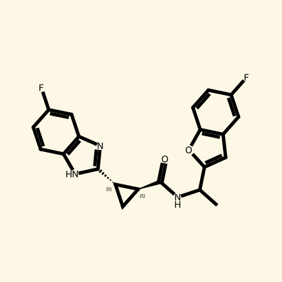 CC(NC(=O)[C@H]1C[C@@H]1c1nc2cc(F)ccc2[nH]1)c1cc2cc(F)ccc2o1